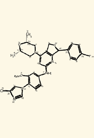 COc1cc(Nc2nc3c(c(N4C[C@@H](C)O[C@@H](C)C4)n2)COC3c2ccc(F)cc2)ccc1-n1cnc(Cl)c1